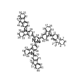 CC1(C)c2ccccc2-c2ccc(-n3c4ccccc4c4cc(-c5cc(-c6ccc7c(c6)c6ccccc6n7-c6ccc7c(c6)C(C)(C)c6ccccc6-7)nc(-c6ccc7c(c6)c6ccccc6n7-c6ccc7c(c6)C(C)(C)c6ccccc6-7)n5)ccc43)cc21